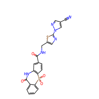 N#Cc1cnn(-c2ncc(CNC(=O)c3ccc4c(c3)NC(=O)c3ccccc3S4(=O)=O)s2)c1